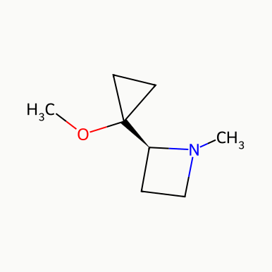 COC1([C@@H]2CCN2C)CC1